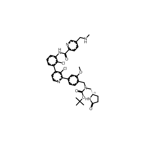 CNCc1ccc(C(=O)Nc2cccc(-c3ccnc(-c4ccc(CN(C[C@@H]5CCC(=O)N5)C(=O)OC(C)(C)C)c(OC)c4)c3Cl)c2Cl)nc1